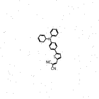 N#CC(C#N)=Cc1ccc(-c2ccc(N(c3ccccc3)C3C=CC=CC3)cc2)s1